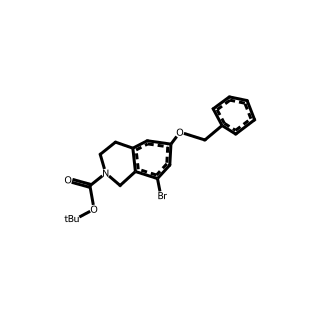 CC(C)(C)OC(=O)N1CCc2cc(OCc3ccccc3)cc(Br)c2C1